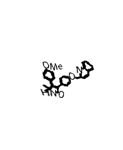 COc1ccc(C2=C(c3ccc(OCc4ccc5ccccc5n4)cc3)C(=O)NC2(C)C)cc1